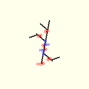 CCCCCCCCC(CCCCCCCC)OC(=O)CCCCCCCN(CCCCCC(=O)OCC(C)CCCCCCC)CCNC(=O)/C=C/C(=O)NCCN(CCCCCCCC(=O)O)CCCCCC(=O)OCC(C)CCCCCCC